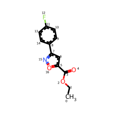 CCOC(=O)c1cc(-c2ccc(F)cc2)no1